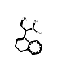 C=CC(C1=CCCc2ccccc21)N(C)C